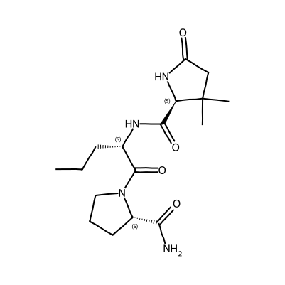 CCC[C@H](NC(=O)[C@H]1NC(=O)CC1(C)C)C(=O)N1CCC[C@H]1C(N)=O